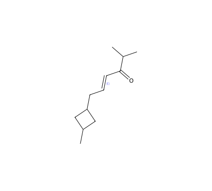 CC1CC(C/C=C/C(=O)C(C)C)C1